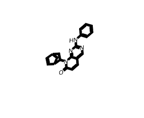 O=c1ccc2cnc(Nc3ccccc3)nc2n1C1CC2C=CC1C2